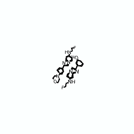 FCCNc1ccn2cc(-c3ccc(N4CCOCC4)cc3)nc2c1.Oc1cccc(-c2cn3ccc(NCCF)cc3n2)c1